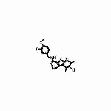 COc1ccc(CNc2nncc3c2sc2nc(C)c(Cl)c(C)c23)cc1F